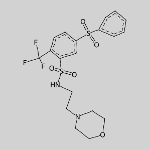 O=S(=O)(NCCN1CCOCC1)c1cc(S(=O)(=O)c2ccccc2)ccc1C(F)(F)F